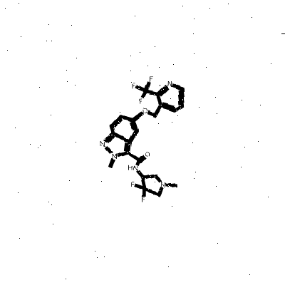 CN1CC(NC(=O)c2c3cc(OCc4cccnc4C(F)(F)F)ccc3nn2C)C(F)(F)C1